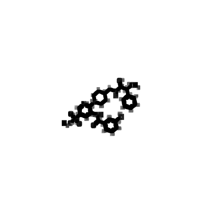 C[C@H](C(=O)NCC1CCN(c2ncc(S(C)(=O)=O)cc2NC(=O)c2cccc(Cl)c2)CC1)c1ccccc1